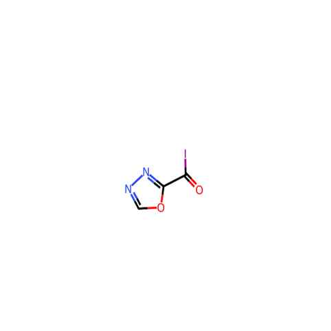 O=C(I)c1nnco1